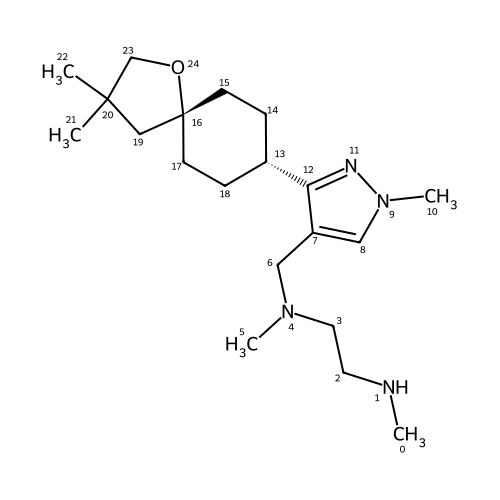 CNCCN(C)Cc1cn(C)nc1[C@H]1CC[C@@]2(CC1)CC(C)(C)CO2